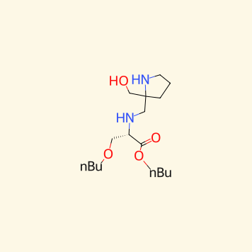 CCCCOC[C@H](NCC1(CO)CCCN1)C(=O)OCCCC